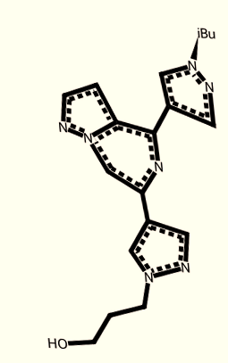 CC[C@H](C)n1cc(-c2nc(-c3cnn(CCCO)c3)cn3nccc23)cn1